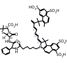 C=C(/C=C/C=C/C=C1/N(CCCCCC(=O)NC(C(=O)N[C@@H]2C(=O)N3[C@@H]2SC(C)(C)[C@@H]3C(=O)O)c2ccccc2)c2ccc3c(S(=O)(=O)O)cc(S(=O)(=O)O)cc3c2C1(C)C)C(C)(C)c1c(C)ccc2c(S(=O)(=O)O)cc(S(=O)(=O)O)cc12